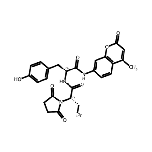 Cc1cc(=O)oc2cc(NC(=O)[C@H](Cc3ccc(O)cc3)NC(=O)[C@H](CC(C)C)N3C(=O)CCC3=O)ccc12